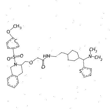 COc1ccc(S(=O)(=O)N2Cc3ccccc3CC2COCC(=O)NCCC2CCC(C(c3cccs3)N(C)C)CC2)cc1